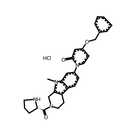 Cl.Cn1c2c(c3ccc(-n4ccc(OCc5ccccc5)cc4=O)cc31)CCN(C(=O)[C@@H]1CCCN1)C2